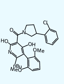 CCCCc1nc(O)c(C(=O)N2CCC(c3ccccc3Cl)C2)c(O)c1-c1c(OC)cccc1OC